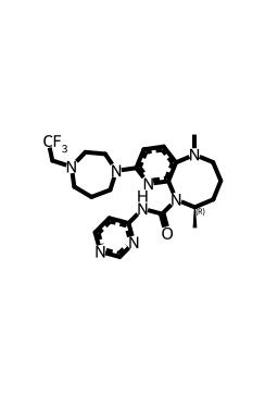 C[C@@H]1CCCN(C)c2ccc(N3CCCN(CC(F)(F)F)CC3)nc2N1C(=O)Nc1ccncn1